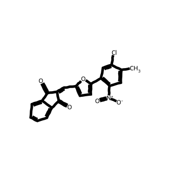 Cc1cc([N+](=O)[O-])c(-c2ccc(C=C3C(=O)c4ccccc4C3=O)o2)cc1Cl